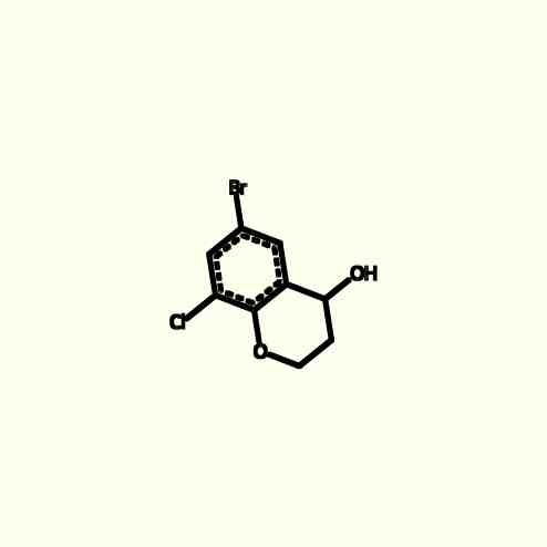 OC1CCOc2c(Cl)cc(Br)cc21